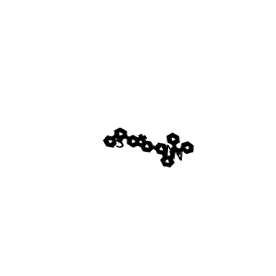 CC1(C)c2cc(-c3ccc4c(c3)c3ccccc3c3nc(-c5ccccc5)c(-c5ccccc5)n43)ccc2-c2ccc(-c3cccc4c3sc3ccccc34)cc21